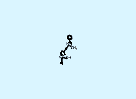 Cn1cc(-c2ccccc2)nc1C#Cc1ccc2nc(C3CC3)c(CO)n2n1